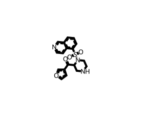 O=C(c1ccoc1)C1CNCCN1S(=O)(=O)c1cccc2cnccc12